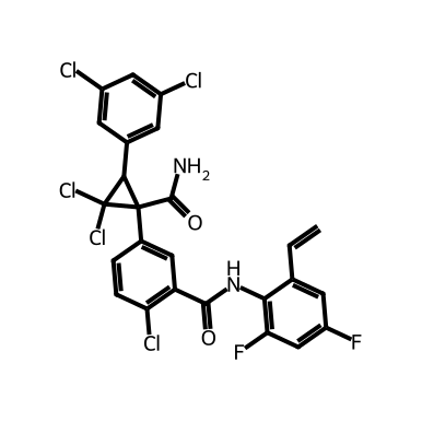 C=Cc1cc(F)cc(F)c1NC(=O)c1cc(C2(C(N)=O)C(c3cc(Cl)cc(Cl)c3)C2(Cl)Cl)ccc1Cl